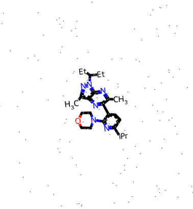 CCC(CC)n1nc(C)c2nc(-c3ccc(C(C)C)nc3N3CCOCC3)c(C)nc21